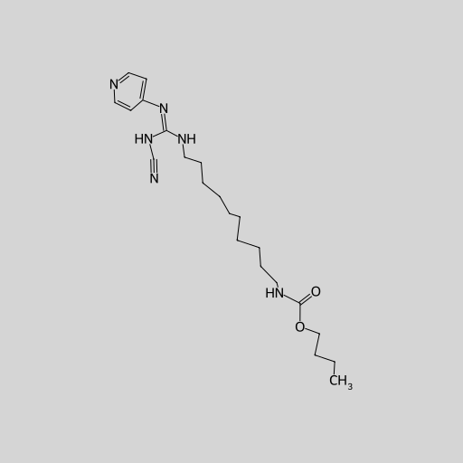 CCCCOC(=O)NCCCCCCCCCCNC(=Nc1ccncc1)NC#N